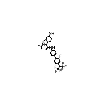 C=C(Nc1ccc(-c2ccc(C(C(F)(F)F)C(F)(F)F)cc2F)cc1)C1C2CCC(S)C=C2CN1C(=C)C